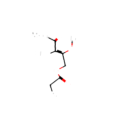 CCOC(COC(=O)CC(C)=O)=C(C=O)C(=O)OC